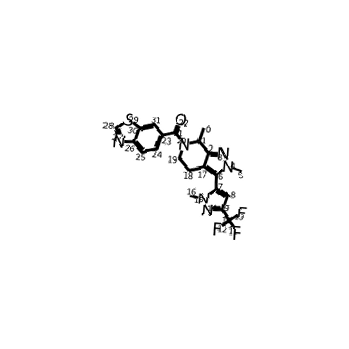 CC1c2nn(C)c(-c3cc(C(F)(F)F)nn3C)c2CCN1C(=O)c1ccc2ncsc2c1